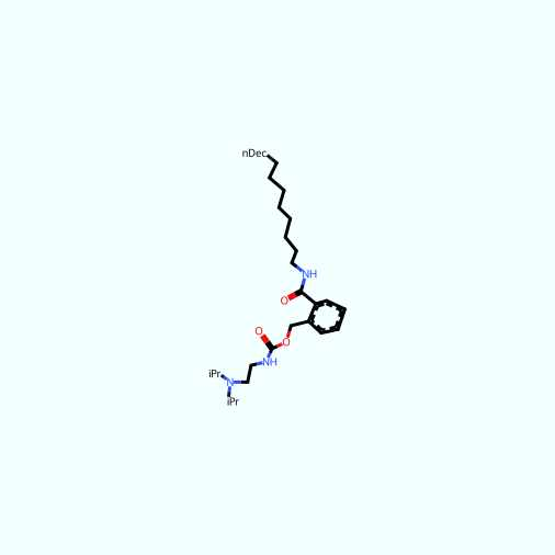 CCCCCCCCCCCCCCCCCCNC(=O)c1ccccc1COC(=O)NCCN(C(C)C)C(C)C